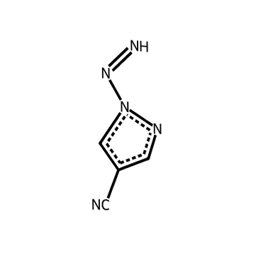 N#Cc1cnn(N=N)c1